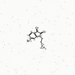 COCCN1C(=O)C(=O)c2ccc(Br)cc21